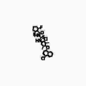 Cc1cc(NC(=S)NC(=O)c2c(F)cccc2F)c(Cl)c(C)c1Oc1ccc(Cl)c2ccccc12